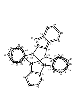 c1ccc(N2c3ccccc3N(c3ccccc3)C23N(c2ccccc2)c2oc4ccccc4c2N3c2ccccc2)cc1